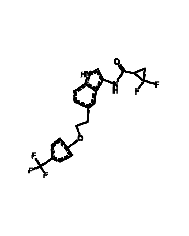 O=C(Nc1c[nH]c2ccc(CCOc3ccc(C(F)(F)F)cc3)cc12)C1CC1(F)F